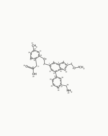 COCc1cc2cc(COc3cc(C)ccc3CC(=O)O)cc(-c3ccnc(CN)c3)c2o1